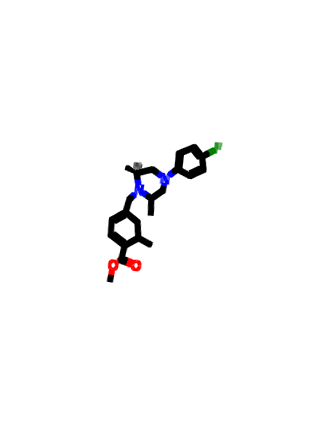 COC(=O)C1=CC=C(CN2C(C)CN(c3ccc(F)cc3)C[C@@H]2C)CC1C